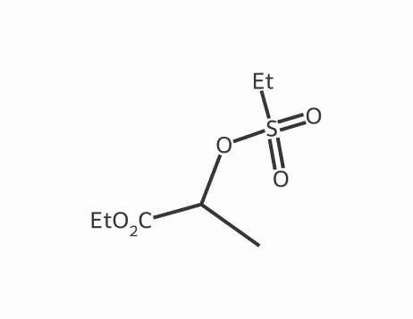 CCOC(=O)C(C)OS(=O)(=O)CC